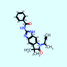 C#CC(C)N1C(=O)C(C)(C)c2cc3nc(NC(=O)c4ccccc4)[nH]c3cc21